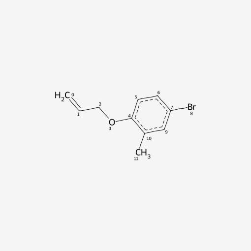 C=CCOc1ccc(Br)cc1C